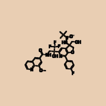 COc1cc(C(=O)NCC(O)(c2cc3c(c(-c4ccc(F)cc4)n2)OCC3(CO)N[S+]([O-])C(C)(C)C)C(F)(F)F)cc2cccnc12